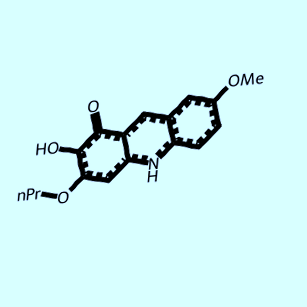 CCCOc1cc2[nH]c3ccc(OC)cc3cc-2c(=O)c1O